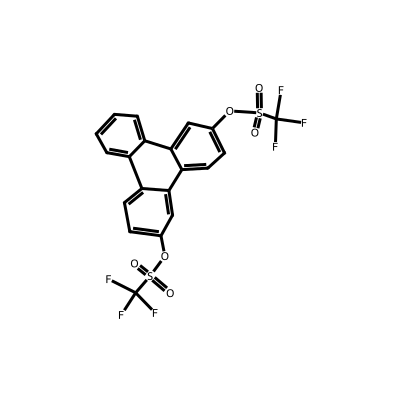 O=S(=O)(Oc1ccc2c(c1)c1ccccc1c1ccc(OS(=O)(=O)C(F)(F)F)cc12)C(F)(F)F